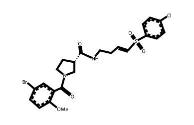 COc1ccc(Br)cc1C(=O)N1CC[C@H](C(=O)NCC/C=C/S(=O)(=O)c2ccc(Cl)cc2)C1